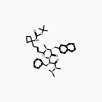 CN(C(=O)/C=C/CC1(NC(=O)OC(C)(C)C)CCC1)[C@H](Cc1ccc2ccccc2c1)C(=O)N(C)[C@H](Cc1ccccc1)C(=O)N(C)N(C)C